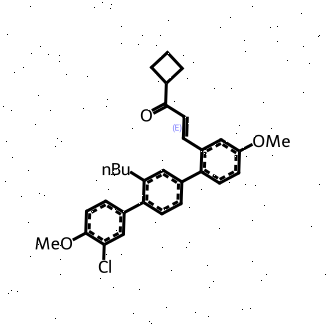 CCCCc1cc(-c2ccc(OC)cc2/C=C/C(=O)C2CCC2)ccc1-c1ccc(OC)c(Cl)c1